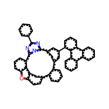 c1ccc(-c2nc3nc(n2)c2cccc4oc5ccc(cc5c42)c2ccccc2c2cc(-c4cccc5c6ccccc6c6ccccc6c45)cc3c2)cc1